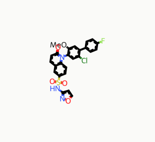 COc1cc(-c2ccc(F)cc2)c(Cl)cc1-n1c(=O)ccc2cc(S(=O)(=O)Nc3ccon3)ccc21